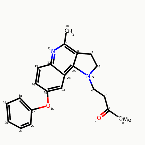 COC(=O)CCN1CCc2c(C)nc3ccc(Oc4ccccc4)cc3c21